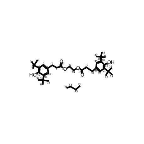 CC(C)(C)c1cc(CCC(=O)OCCOC(=O)CCc2cc(C(C)(C)C)c(O)c(C(C)(C)C)c2)cc(C(C)(C)C)c1O.CCCC